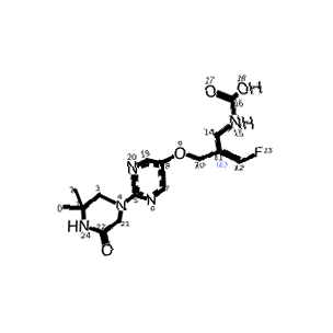 CC1(C)CN(c2ncc(OC/C(=C/F)CNC(=O)O)cn2)CC(=O)N1